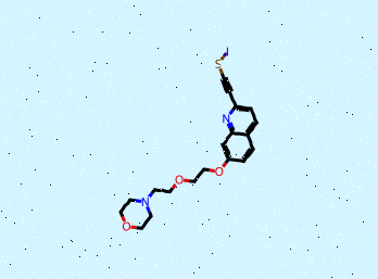 ISC#Cc1ccc2ccc(OCCOCCN3CCOCC3)cc2n1